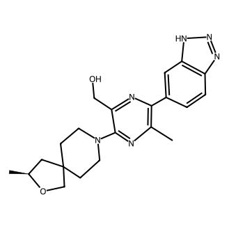 Cc1nc(N2CCC3(CC2)CO[C@@H](C)C3)c(CO)nc1-c1ccc2nn[nH]c2c1